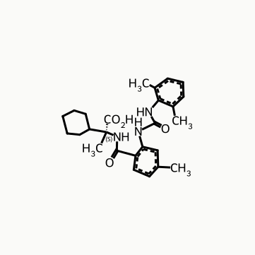 Cc1ccc(C(=O)N[C@](C)(C(=O)O)C2CCCCC2)c(NC(=O)Nc2c(C)cccc2C)c1